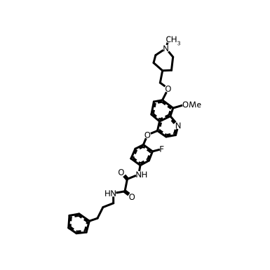 COc1c(OCC2CCN(C)CC2)ccc2c(Oc3ccc(NC(=O)C(=O)NCCCc4ccccc4)cc3F)ccnc12